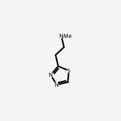 CNCCc1nn[c]s1